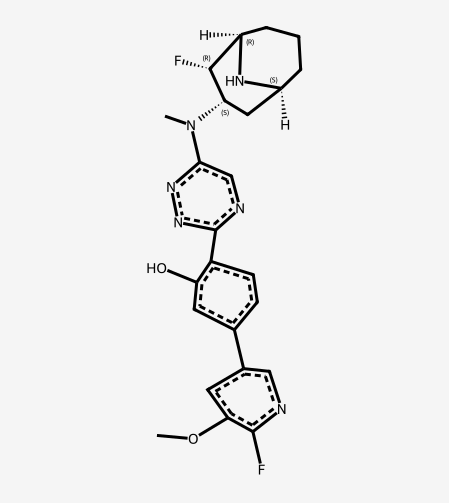 COc1cc(-c2ccc(-c3ncc(N(C)[C@H]4C[C@@H]5CCC[C@@H](N5)[C@H]4F)nn3)c(O)c2)cnc1F